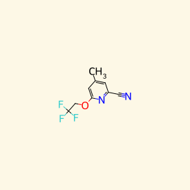 Cc1cc(C#N)nc(OCC(F)(F)F)c1